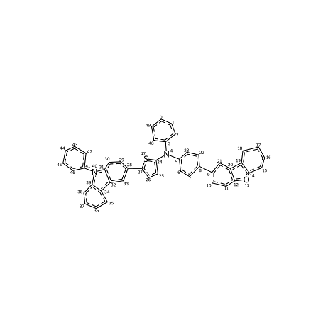 c1ccc(N(c2ccc(-c3ccc4oc5ccccc5c4c3)cc2)c2ccc(-c3ccc4c(c3)c3ccccc3n4-c3ccccc3)s2)cc1